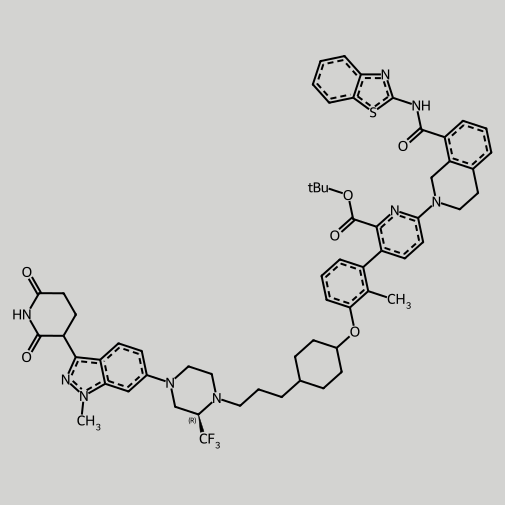 Cc1c(OC2CCC(CCCN3CCN(c4ccc5c(C6CCC(=O)NC6=O)nn(C)c5c4)C[C@@H]3C(F)(F)F)CC2)cccc1-c1ccc(N2CCc3cccc(C(=O)Nc4nc5ccccc5s4)c3C2)nc1C(=O)OC(C)(C)C